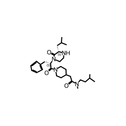 CC(C)CCN(C)C(=O)CC1CCN(C(=O)[C@H](Cc2ccccc2)N2CCN[C@@H](CC(C)C)C2=O)CC1